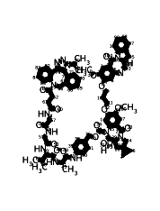 COc1cc2c(cc1OCCCOc1cc3c(cc1OC)C(=O)N1CC4(CC4)C[C@H]1C(O)N3C(=O)OCc1ccc(NC(=O)[C@H](C)NC(=O)[C@@H](NC(=O)CNC(=O)CNC(=O)CCC(=O)N3Cc4ccccc4-c4c(nnn4C(C)C)-c4ccccc43)C(C)C)cc1)N=C[C@@H]1Cc3ccccc3N1C2=O